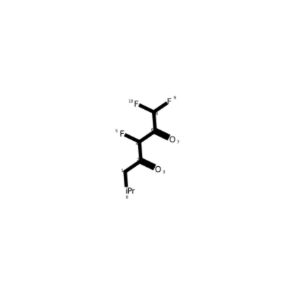 CC(C)CC(=O)C(F)C(=O)C(F)F